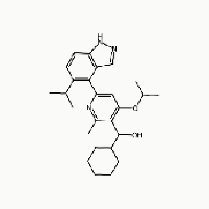 Cc1nc(-c2c(C(C)C)ccc3[nH]ncc23)cc(OC(C)C)c1C(O)C1CCCCC1